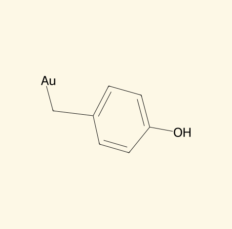 Oc1ccc([CH2][Au])cc1